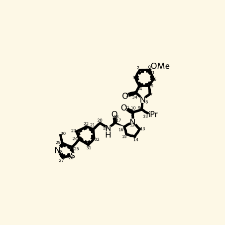 COc1ccc2c(c1)CN(C(C(=O)N1CCC[C@H]1C(=O)NCc1ccc(-c3scnc3C)cc1)C(C)C)C2=O